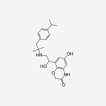 CC(C)c1ccc(CC(C)(C)NCC(O)c2cc(O)cc3c2OCC(=O)N3)cc1